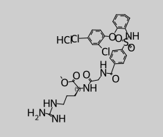 COC(=O)[C@H](CCCNC(=N)N)NC(=O)CNC(=O)c1ccc(S(=O)(=O)Nc2ccccc2Oc2ccc(Cl)cc2Cl)cc1.Cl